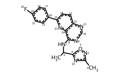 Cc1noc(C(C)Nc2ncnc3ccc(-c4ccc(F)cc4)nc23)n1